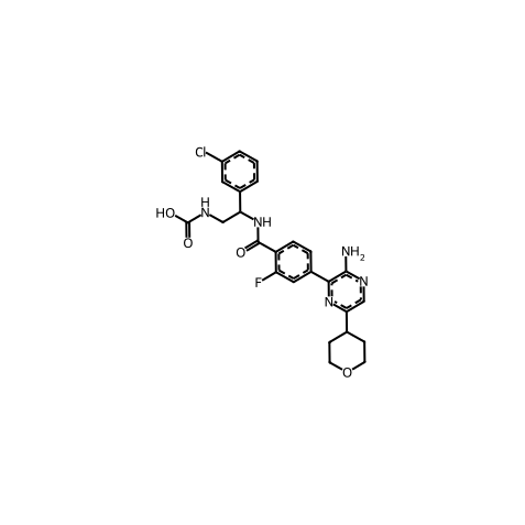 Nc1ncc(C2CCOCC2)nc1-c1ccc(C(=O)NC(CNC(=O)O)c2cccc(Cl)c2)c(F)c1